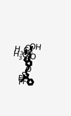 CN(C)[C@@H](CC(=O)O)C(=O)N1CCc2cc(OCc3cc(-c4ccccc4)c(C(F)(F)F)s3)ccc21